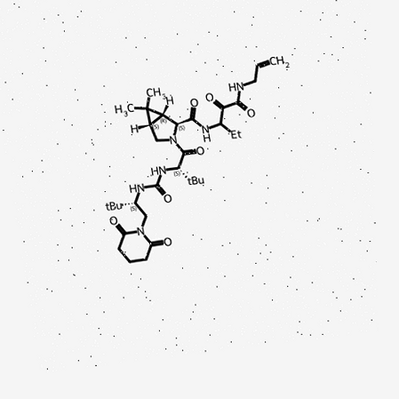 C=CCNC(=O)C(=O)C(CC)NC(=O)[C@@H]1[C@@H]2[C@H](CN1C(=O)[C@@H](NC(=O)N[C@H](CN1C(=O)CCCC1=O)C(C)(C)C)C(C)(C)C)C2(C)C